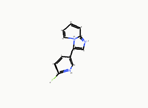 Fc1ccc(-c2cnc3ccccn23)cn1